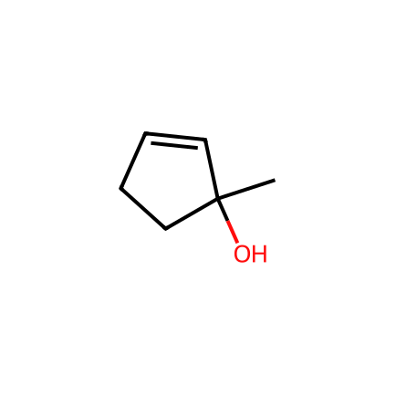 CC1(O)C=CCC1